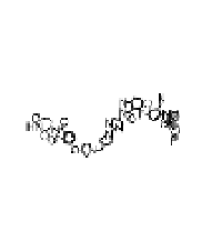 N#Cc1c(NS(=O)(=O)N2CC[C@@H](F)C2)ccc(F)c1Oc1ccc2ncn(-c3cnc(N4CCC(CN5CCC(Oc6ccc7c(c6)C(=O)N(C6CCC(=O)NC6=O)C7=O)CC5)CC4)nc3)c(=O)c2c1